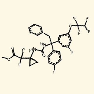 COC(=O)C(F)(F)C1(NC(=O)NC(Cc2ccccc2)(c2ccc(F)cc2)c2cc(F)cc(OC(F)(F)C(F)F)c2)CC1